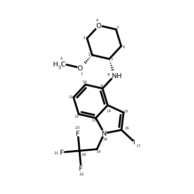 CO[C@@H]1COCC[C@@H]1Nc1cccc2c1cc(I)n2CC(F)(F)F